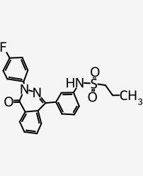 CCCS(=O)(=O)Nc1cccc(-c2nn(-c3ccc(F)cc3)c(=O)c3ccccc23)c1